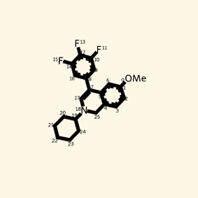 COc1ccc2c(c1)C(c1cc(F)c(F)c(F)c1)=CN(C1CCCCC1)C2